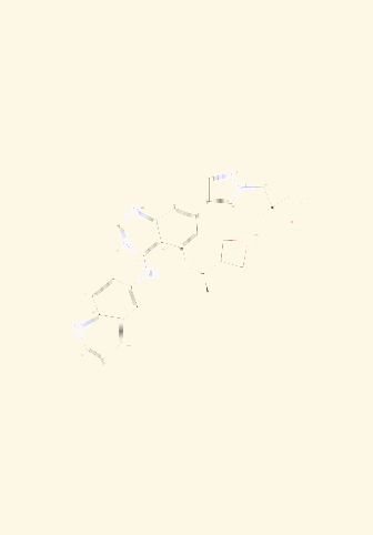 C[C@@H](Oc1cc(-c2cnn(CC(C)(C)O)c2)cc2ncnc(Nc3ccc4ncccc4c3)c12)C1COC1